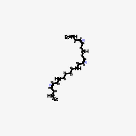 CCNC/C=C\CNC/C=C\CNCCCCNC/C=C\CNCC